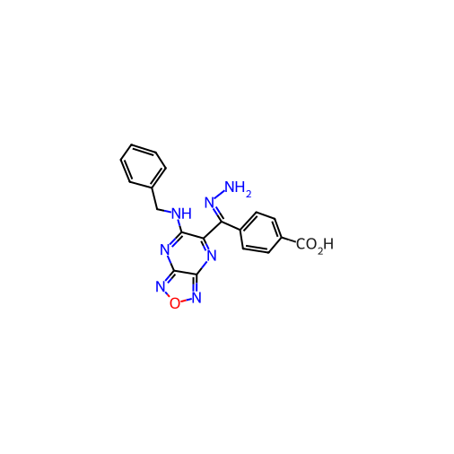 N/N=C(\c1ccc(C(=O)O)cc1)c1nc2nonc2nc1NCc1ccccc1